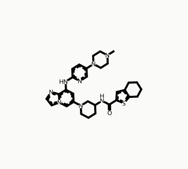 CN1CCN(c2ccc(Nc3cc(N4CCCC(NC(=O)c5cc6c(s5)CCCC6)C4)cn4ccnc34)nc2)CC1